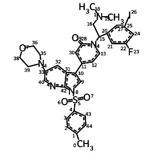 Cc1ccc(S(=O)(=O)n2cc(-c3ccn(C(CN(C)C)c4cc(F)cc(I)c4)c(=O)c3)c3cc(N4CCOCC4)cnc32)cc1